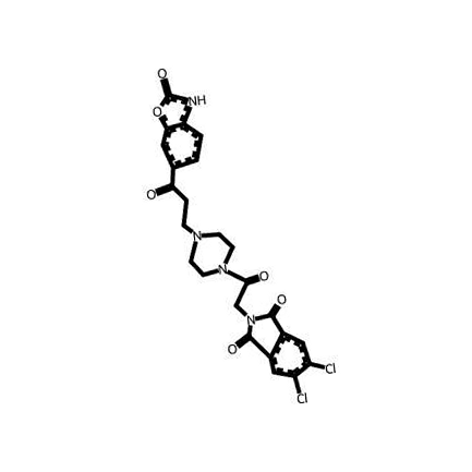 O=C(CCN1CCN(C(=O)CN2C(=O)c3cc(Cl)c(Cl)cc3C2=O)CC1)c1ccc2[nH]c(=O)oc2c1